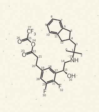 CC(C)(CC1Cc2ccccc2C1)NC[C@@H](O)c1cc(CCC(=O)OC(=O)C(F)(F)F)cc(F)c1F